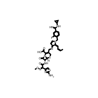 C\C=C/C=C1\C(=N\CC2=C(C(=O)O)N3C(=O)[C@@H](NC(=O)/C(=N\OC)c4csc(N)n4)[C@H]3SC2)C=CN1Cc1ccc(C(=N)NC2CC2)cc1F